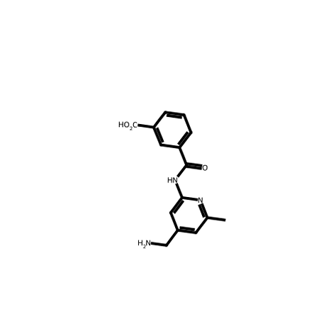 Cc1cc(CN)cc(NC(=O)c2cccc(C(=O)O)c2)n1